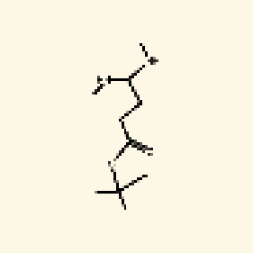 CNC(CCC(=O)OC(C)(C)C)NC